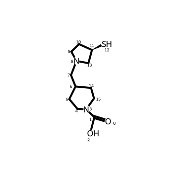 O=C(O)N1CCC(CN2CC[C@@H](S)C2)CC1